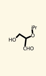 CC(C)OC(C=O)CO